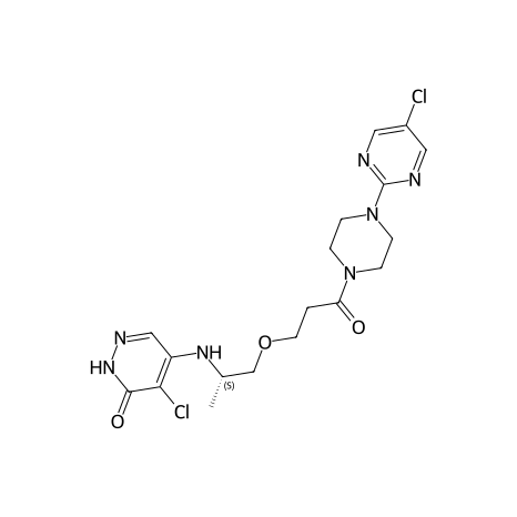 C[C@@H](COCCC(=O)N1CCN(c2ncc(Cl)cn2)CC1)Nc1cn[nH]c(=O)c1Cl